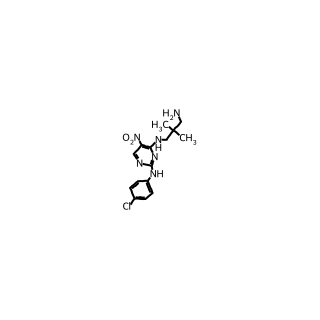 CC(C)(CN)CNc1nc(Nc2ccc(Cl)cc2)ncc1[N+](=O)[O-]